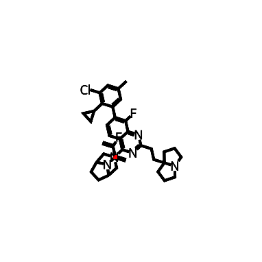 C=C(F)C(=C)N1C2CCC1CN(c1nc(CCC34CCCN3CCC4)nc3c(F)c(-c4cc(C)cc(Cl)c4C4CC4)ccc13)C2